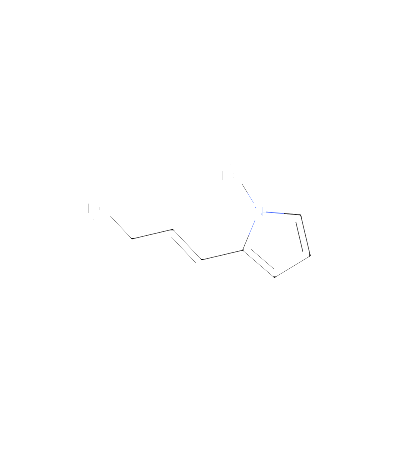 [CH2]CC=Cc1cccn1C